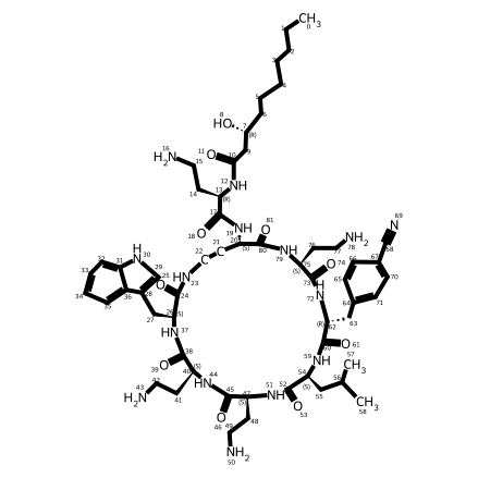 CCCCCCC[C@@H](O)CC(=O)N[C@H](CCN)C(=O)N[C@H]1CCNC(=O)[C@H](Cc2c[nH]c3ccccc23)NC(=O)[C@H](CCN)NC(=O)[C@H](CCN)NC(=O)[C@H](CC(C)C)NC(=O)[C@@H](Cc2ccc(C#N)cc2)NC(=O)[C@H](CCN)NC1=O